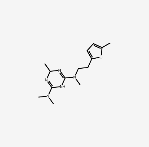 Cc1ccc(CCN(C)C2=NC(C)N=C(N(C)C)N2)o1